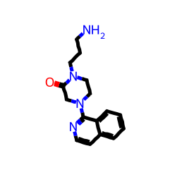 NCCCN1CCN(c2nccc3ccccc23)CC1=O